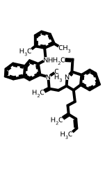 C=CC1=NC(CC(=C)N(C)c2cc3ccccc3cc2Nc2c(C)cccc2C)C(CCC(=C)/C=C\C)c2ccccc21